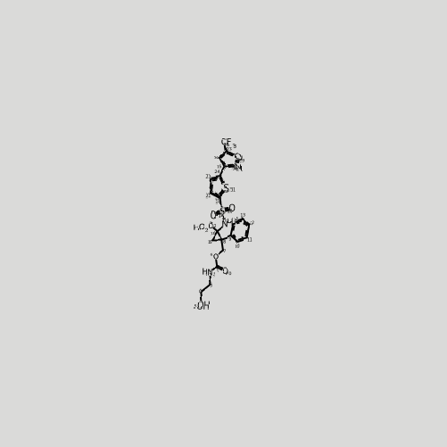 O=C(NCCO)OCC1(c2ccccc2)CC1(NS(=O)(=O)c1ccc(-c2cc(C(F)(F)F)on2)s1)C(=O)O